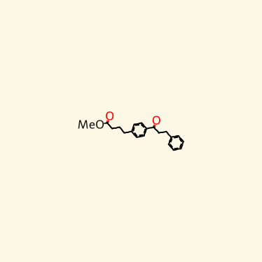 COC(=O)CCCc1ccc(C(=O)CCc2ccccc2)cc1